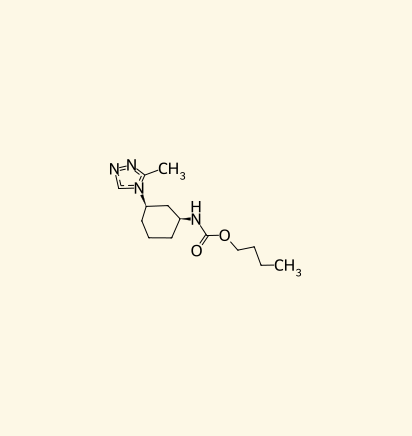 CCCCOC(=O)N[C@H]1CCC[C@@H](n2cnnc2C)C1